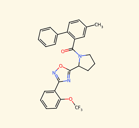 Cc1ccc(-c2ccccc2)c(C(=O)N2CCCC2c2nc(-c3ccccc3OC(F)(F)F)no2)c1